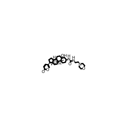 C[C@]12CC[C@H](NC(=O)NCCN3CCOCC3)C[C@@]1(O)CC[C@@H]1[C@@H]2CC[C@]2(C)[C@@H](c3ccc(=O)oc3)CC[C@]12O